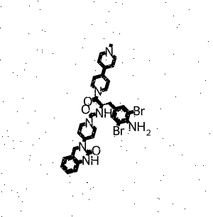 CN1CCC(C2CCN(C(=O)[C@@H](Cc3cc(Br)c(N)c(Br)c3)NC(=O)N3CCC(N4Cc5ccccc5NC4=O)CC3)CC2)CC1